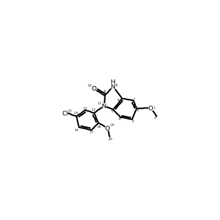 COc1ccc2c(c1)[nH]c(=O)n2-c1cc(Cl)ccc1OC